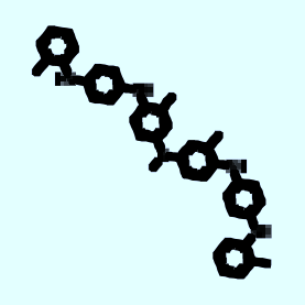 Cc1ccccc1Nc1ccc(Nc2ccc(N(C)c3ccc(Nc4ccc(Nc5ccccc5C)cc4)c(C)c3)cc2C)cc1